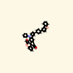 c1ccc(-n2c3ccc(-c4ccc(-c5ccc6oc7ccccc7c6c5)cc4)cc3c3cc4c(cc32)C2(c3ccccc3Oc3ccccc32)c2ccccc2-4)cc1